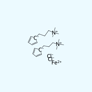 C[N+](C)(C)CCC[c-]1cccc1.C[N+](C)(C)CCC[c-]1cccc1.[Cl-].[Cl-].[Fe+2]